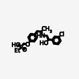 CCP(=O)(O)COc1ccc(CC(C)NCC(O)c2cccc(Cl)c2)cc1